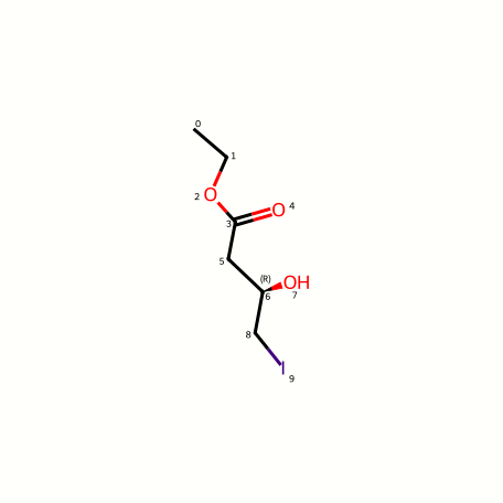 CCOC(=O)C[C@@H](O)CI